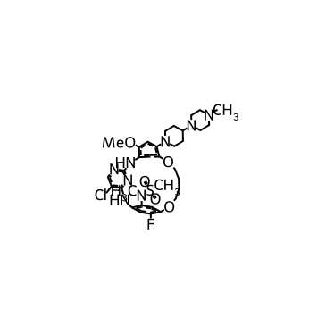 COc1cc(N2CCC(N3CCN(C)CC3)CC2)c2cc1Nc1ncc(Cl)c(n1)Nc1cc(F)c(cc1N(C)S(C)(=O)=O)OCCCCO2